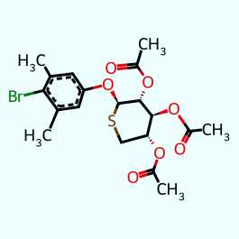 CC(=O)O[C@@H]1[C@@H](OC(C)=O)[C@H](OC(C)=O)CS[C@H]1Oc1cc(C)c(Br)c(C)c1